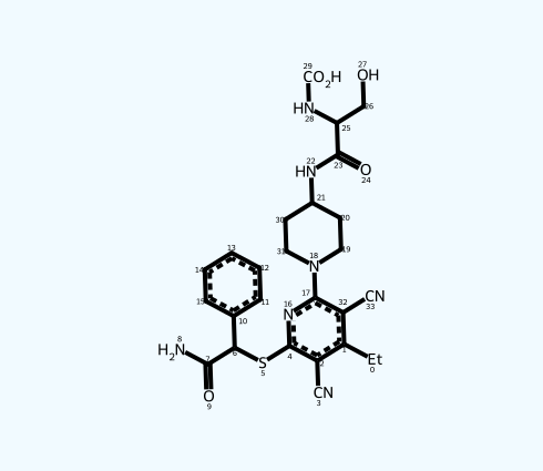 CCc1c(C#N)c(SC(C(N)=O)c2ccccc2)nc(N2CCC(NC(=O)C(CO)NC(=O)O)CC2)c1C#N